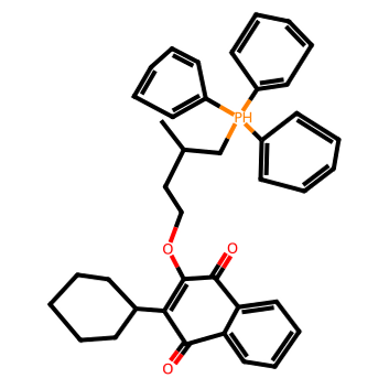 CC(CCOC1=C(C2CCCCC2)C(=O)c2ccccc2C1=O)C[PH](c1ccccc1)(c1ccccc1)c1ccccc1